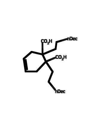 CCCCCCCCCCCCC1(C(=O)O)CC=CCC1(CCCCCCCCCCCC)C(=O)O